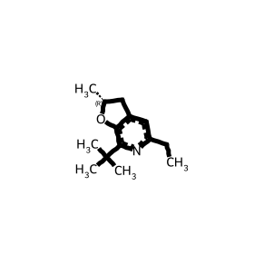 CCc1cc2c(c(C(C)(C)C)n1)O[C@H](C)C2